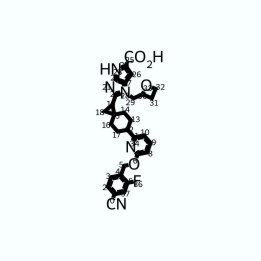 N#Cc1ccc(COc2cccc(C3CCC4(CC3)CC4c3nc4[nH]c(C(=O)O)cc4n3CC3CCO3)n2)c(F)c1